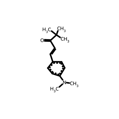 CN(C)c1ccc(C=CC(=O)C(C)(C)C)cc1